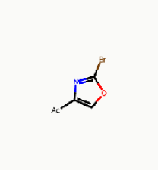 CC(=O)c1coc(Br)n1